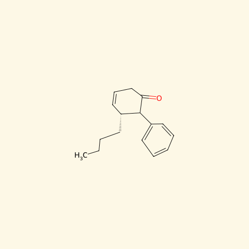 CCCC[C@@H]1C=CCC(=O)C1c1ccccc1